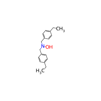 CCc1ccc(CN(O)Cc2ccc(CC)cc2)cc1